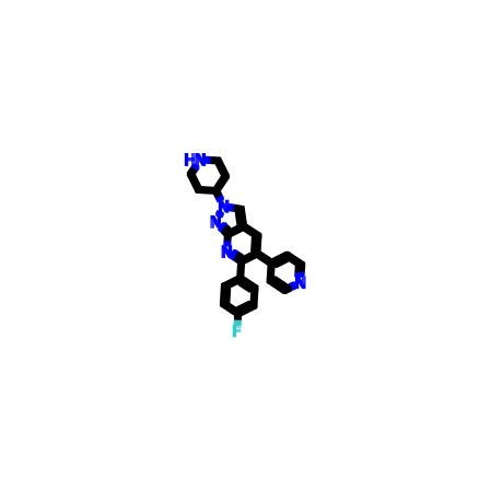 Fc1ccc(-c2nc3nn(C4CCNCC4)cc3cc2-c2ccncc2)cc1